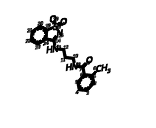 Cc1ccccc1C(=O)NCCCNC1=NS(=O)(=O)c2ccccc21